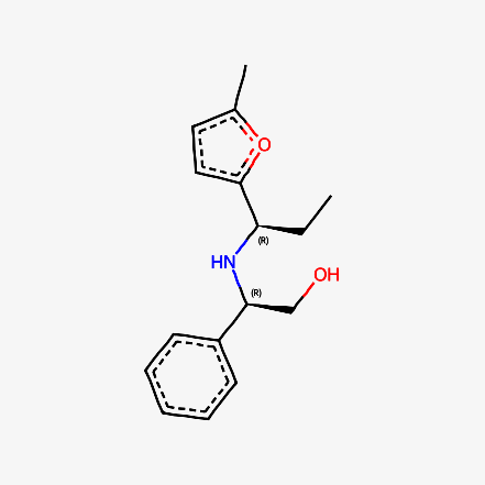 CC[C@@H](N[C@@H](CO)c1ccccc1)c1ccc(C)o1